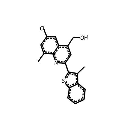 Cc1c(-c2cc(CO)c3cc(Cl)cc(C)c3n2)sc2ccccc12